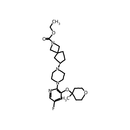 CCOC(=O)N1CC2(CC[C@@H](N3CCN(c4ncc(F)cc4OC4(C)CCOCC4)CC3)C2)C1